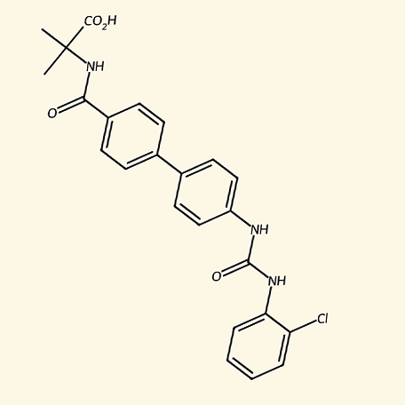 CC(C)(NC(=O)c1ccc(-c2ccc(NC(=O)Nc3ccccc3Cl)cc2)cc1)C(=O)O